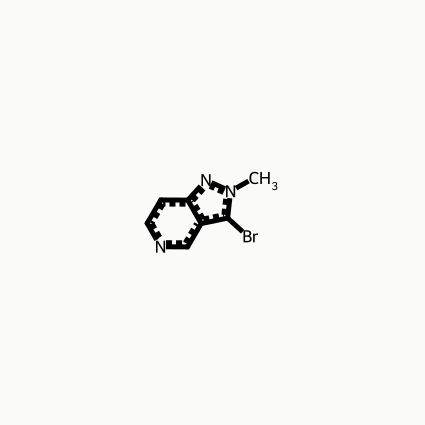 Cn1nc2ccncc2c1Br